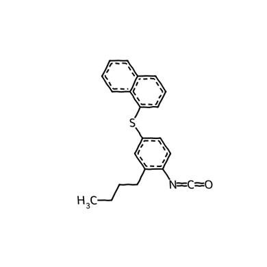 CCCCc1cc(Sc2cccc3ccccc23)ccc1N=C=O